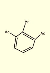 CC(=O)c1[c]ccc(C(C)=O)c1C(C)=O